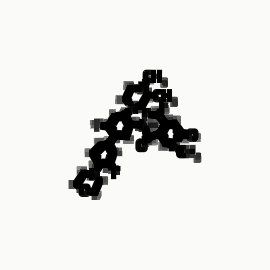 C[C@H]1CN(c2cc(F)c(-c3ccc(N4CCOCC4)c(F)c3)cc2NC(=O)c2cn(C)c(=O)cc2C(F)F)CCN1C